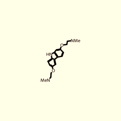 CNCCOc1ccc2c(c1)[nH]c1ccc(OCCNC)cc12